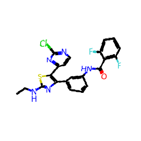 CCNc1nc(-c2cccc(NC(=O)c3c(F)cccc3F)c2)c(-c2ccnc(Cl)n2)s1